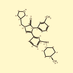 Cc1cccc(-n2c(-c3ccnc(N[C@H]4CC[C@H](C)CC4)n3)cn(CC3CCOC3)c2=O)c1